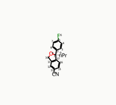 CCC[C@@]1(c2ccc(F)cc2)OCc2cc(C#N)ccc21